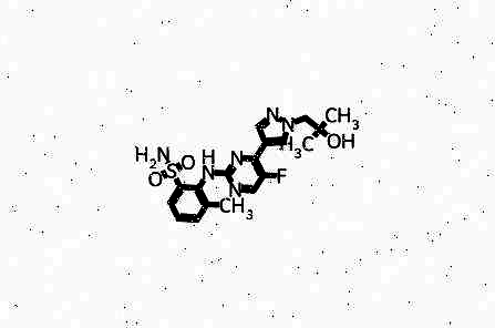 Cc1cccc(S(N)(=O)=O)c1Nc1ncc(F)c(-c2cnn(CC(C)(C)O)c2)n1